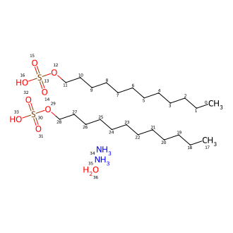 CCCCCCCCCCCCOS(=O)(=O)O.CCCCCCCCCCCCOS(=O)(=O)O.N.N.O